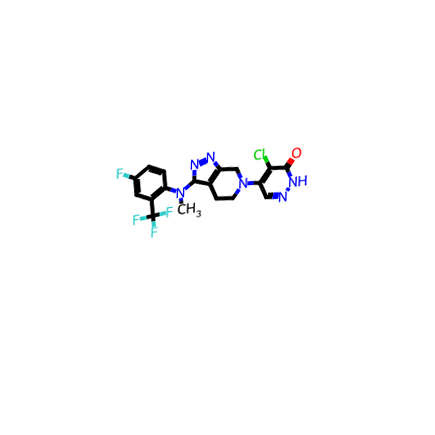 CN(c1ccc(F)cc1C(F)(F)F)C1N=NC2=C1CCN(c1cn[nH]c(=O)c1Cl)C2